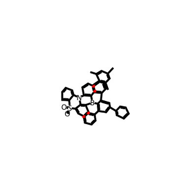 Cc1cc(C)c(-c2ccc3c(c2)B(c2c(-c4ccccc4)cc(-c4ccccc4)cc2-c2ccccc2)c2cccc4c2N3c2ccccc2S4(=O)=O)c(C)c1